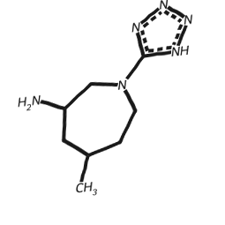 CC1CCN(c2nnn[nH]2)CC(N)C1